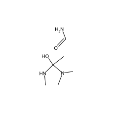 CNC(C)(O)N(C)C.NC=O